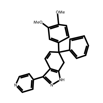 COc1ccc(C2(c3ccccc3)C=Cc3c(-c4ccncc4)n[nH]c3C2)cc1OC